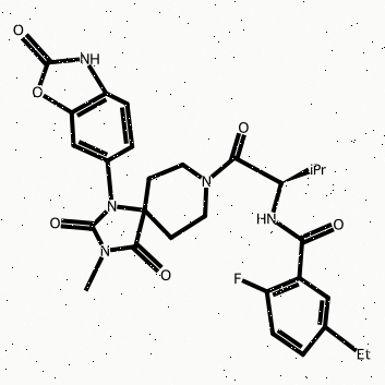 CCc1ccc(F)c(C(=O)N[C@@H](C(=O)N2CCC3(CC2)C(=O)N(C)C(=O)N3c2ccc3[nH]c(=O)oc3c2)C(C)C)c1